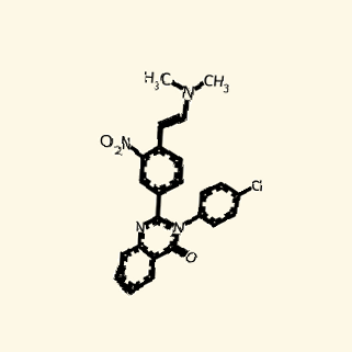 CN(C)C=Cc1ccc(-c2nc3ccccc3c(=O)n2-c2ccc(Cl)cc2)cc1[N+](=O)[O-]